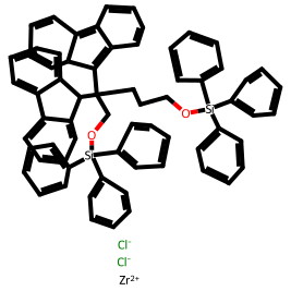 C1=CC2=c3ccccc3=C(C(CCCO[Si](c3ccccc3)(c3ccccc3)c3ccccc3)(CO[Si](c3ccccc3)(c3ccccc3)c3ccccc3)C3c4ccccc4-c4ccccc43)C2C=C1.[Cl-].[Cl-].[Zr+2]